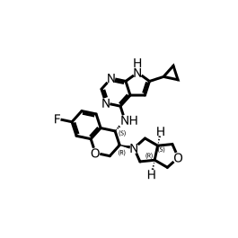 Fc1ccc2c(c1)OC[C@H](N1C[C@H]3COC[C@H]3C1)[C@H]2Nc1ncnc2[nH]c(C3CC3)cc12